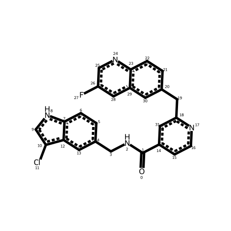 O=C(NCc1ccc2[nH]cc(Cl)c2c1)c1ccnc(Cc2ccc3ncc(F)cc3c2)c1